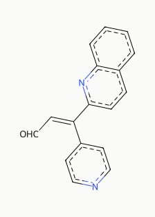 O=CC=C(c1ccncc1)c1ccc2ccccc2n1